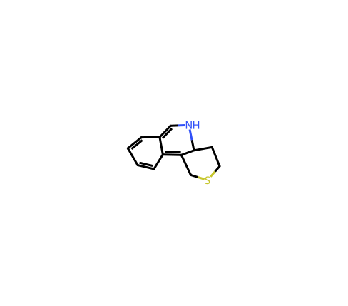 C1=c2ccccc2=C2CSCCC2N1